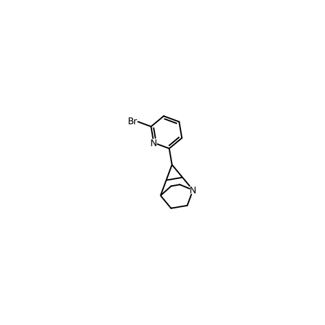 Brc1cccc(C2C3C4CCN(CC4)C23)n1